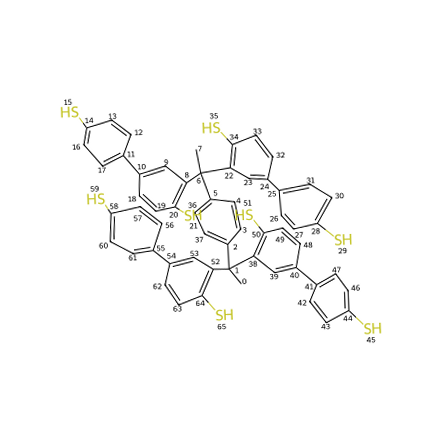 CC(c1ccc(C(C)(c2cc(-c3ccc(S)cc3)ccc2S)c2cc(-c3ccc(S)cc3)ccc2S)cc1)(c1cc(-c2ccc(S)cc2)ccc1S)c1cc(-c2ccc(S)cc2)ccc1S